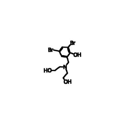 OCCN(CCO)Cc1cc(Br)cc(Br)c1O